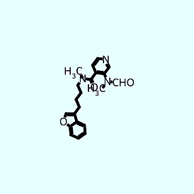 CN(CCCCc1coc2ccccc12)C(=O)c1ccncc1N(C)C=O